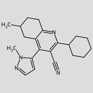 CC1CCc2nc(C3CCCCC3)c(C#N)c(-c3ccnn3C)c2C1